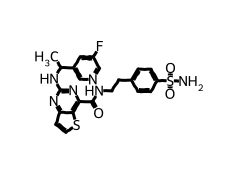 CC(Nc1nc(C(=O)NCCc2ccc(S(N)(=O)=O)cc2)c2sccc2n1)c1cncc(F)c1